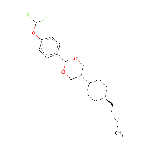 CCCC[C@H]1CC[C@H](C2COC(c3ccc(OC(F)F)cc3)OC2)CC1